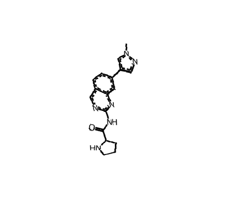 Cn1cc(-c2ccc3cnc(NC(=O)C4CCCN4)nc3c2)cn1